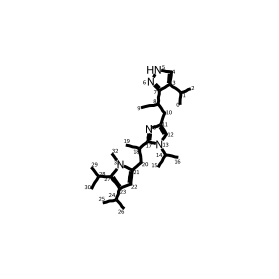 CC(C)c1c[nH]nc1C(C)Cc1cn(C(C)C)c(C(C)Cc2cc(C(C)C)c(C(C)C)n2C)n1